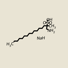 CCCCCCCCCCCCCCC(C)(CN)S(=O)(=O)O.[NaH]